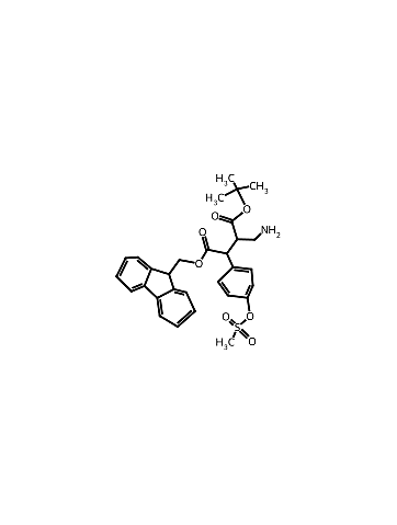 CC(C)(C)OC(=O)C(CN)C(C(=O)OCC1c2ccccc2-c2ccccc21)c1ccc(OS(C)(=O)=O)cc1